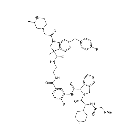 CNCC(=O)NC(C(=O)N1Cc2ccccc2[C@H]1C(=O)Nc1cc(C(=O)NCCNC(=O)C2(C)CN(C(=O)CN3CCN[C@H](C)C3)c3cc(Cc4ccc(F)cc4)ccc32)ccc1F)C1CCOCC1